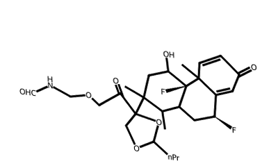 CCCC1OCC(C(=O)COCNC=O)(C2(C)CC(O)[C@@]3(F)C(C[C@H](F)C4=CC(=O)C=CC43C)C2C)O1